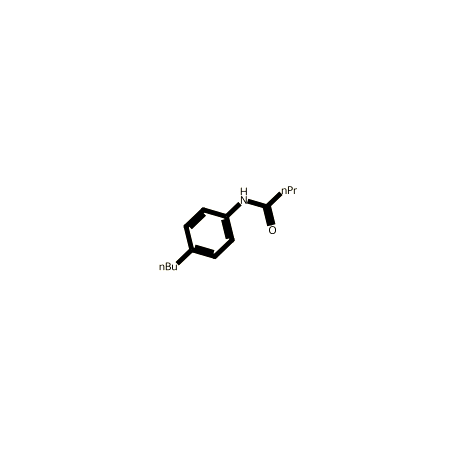 CCCCc1ccc(NC(=O)CCC)cc1